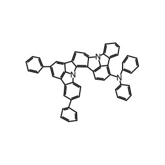 c1ccc(-c2ccc3c(c2)c2cc(-c4ccccc4)cc4c5ccc6c(c7ccc(N(c8ccccc8)c8ccccc8)c8c9ccccc9n6c78)c5n3c24)cc1